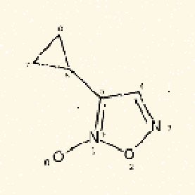 [O-][n+]1oncc1C1CC1